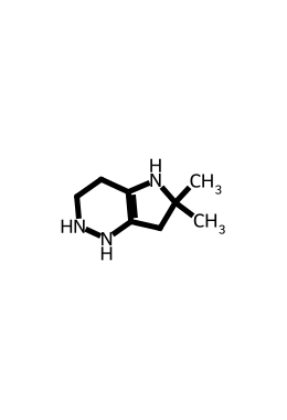 CC1(C)CC2=C(CCNN2)N1